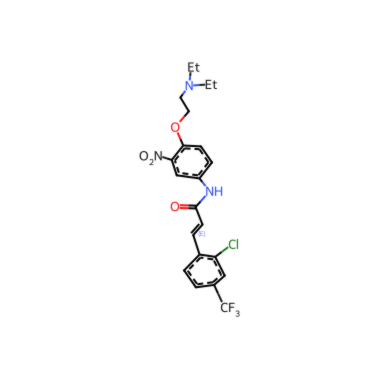 CCN(CC)CCOc1ccc(NC(=O)/C=C/c2ccc(C(F)(F)F)cc2Cl)cc1[N+](=O)[O-]